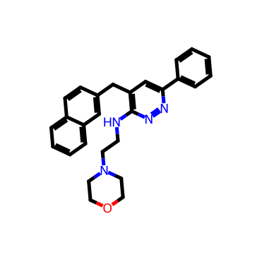 c1ccc(-c2cc(Cc3ccc4ccccc4c3)c(NCCN3CCOCC3)nn2)cc1